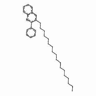 CCCCCCCCCCCCCCCCCCc1cc2ccccc2nc1-c1ccccc1